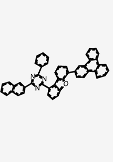 c1ccc(-c2nc(-c3ccc4ccccc4c3)nc(-c3cccc4oc5c(-c6ccc7c8ccccc8c8ccccc8c7c6)cccc5c34)n2)cc1